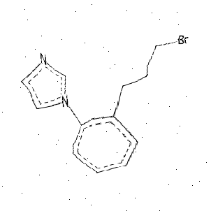 BrCCCc1ccccc1-n1ccnc1